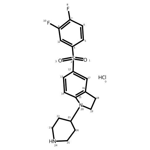 Cl.O=S(=O)(c1ccc(F)c(F)c1)c1ccc2c(c1)CCN2C1CCNCC1